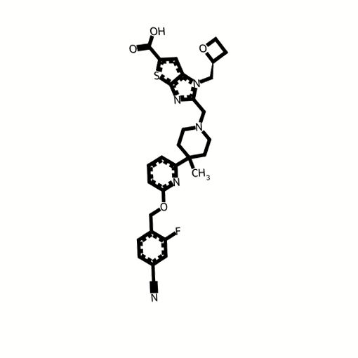 CC1(c2cccc(OCc3ccc(C#N)cc3F)n2)CCN(Cc2nc3sc(C(=O)O)cc3n2C[C@@H]2CCO2)CC1